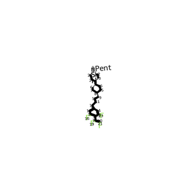 CCCCC[Si@H]1CC[C@H]([C@H]2CC[C@H](CCCCc3cc(F)c(C(F)=CF)c(F)c3)CC2)CC1